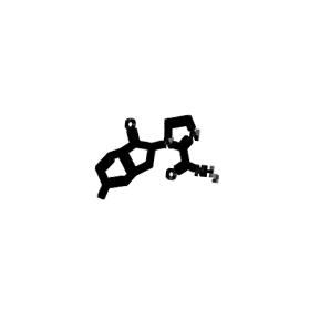 Cc1ccc2c(c1)CC(n1ccnc1C(N)=O)C2=O